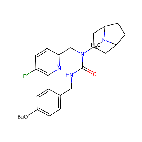 CC(C)COc1ccc(CNC(=O)N(Cc2ccc(F)cn2)C2CC3CCC(C2)N3C)cc1